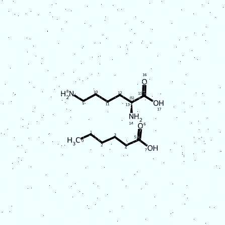 CCCCCC(=O)O.NCCCC[C@H](N)C(=O)O